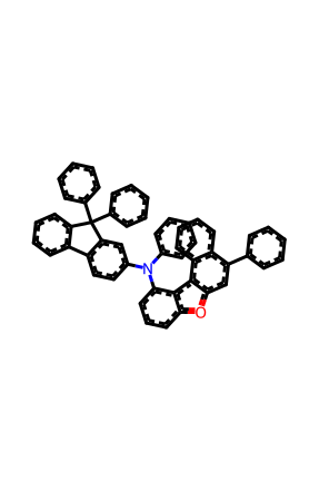 c1ccc(-c2cc3oc4cccc(N(c5ccccc5)c5ccc6c(c5)C(c5ccccc5)(c5ccccc5)c5ccccc5-6)c4c3c3ccccc23)cc1